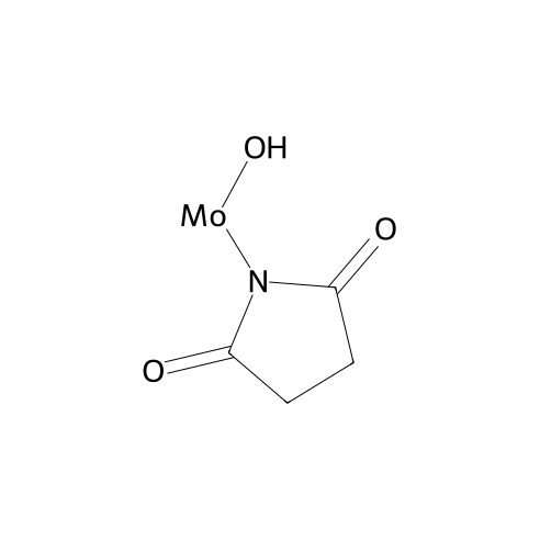 O=C1CCC(=O)[N]1[Mo][OH]